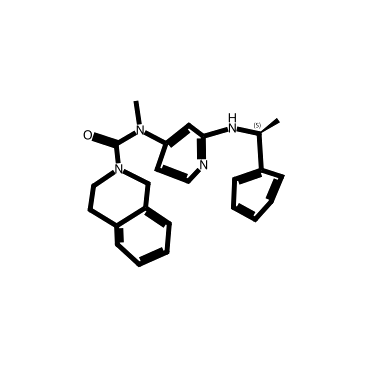 C[C@H](Nc1cc(N(C)C(=O)N2CCc3ccccc3C2)ccn1)c1ccccc1